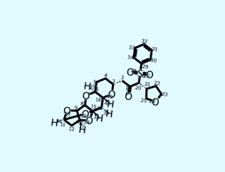 O=C(C[C@H]1CC[C@@H]2OC3C4O[C@@H]5C[C@H]4O[C@H]3[C@@H](O5)[C@H]2O1)C([C@@H]1CCOC1)S(=O)(=O)c1ccccc1